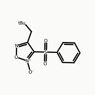 CC(C)(C)Cc1no[n+]([O-])c1S(=O)(=O)c1ccccc1